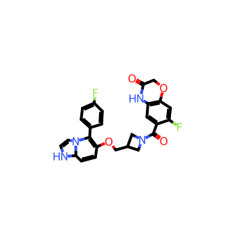 O=C1COc2cc(F)c(C(=O)N3CC(COC4=C(c5ccc(F)cc5)N5C=CNC5C=C4)C3)cc2N1